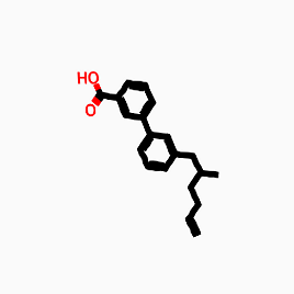 C=CCCC(C)Cc1cccc(-c2cccc(C(=O)O)c2)c1